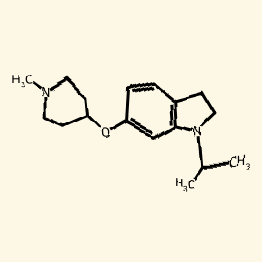 CC(C)N1CCc2ccc(OC3CCN(C)CC3)cc21